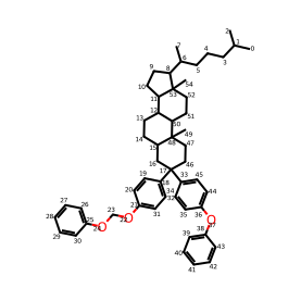 CC(C)CCCC(C)C1CCC2C3CCC4CC(c5ccc(OCOc6ccccc6)cc5)(c5ccc(Oc6ccccc6)cc5)CCC4(C)C3CCC12C